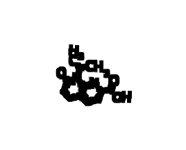 CC(C)n1c(=O)ccc2ccc(C(=O)O)nc21